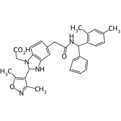 Cc1ccc(C(NC(=O)Cc2ccc3c(c2)NC(c2c(C)noc2C)N3CC(=O)O)c2ccccc2)c(C)c1